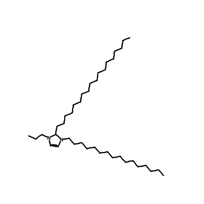 CCCCCCCCCCCCCCCCCCC1N(CCC)C=CN1CCCCCCCCCCCCCCCC